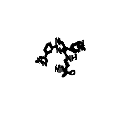 CC(=O)NCCNc1nc(-c2cccc(-c3cnn(C)c3)c2)ncc1-c1cnn(C)c1